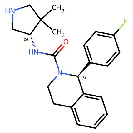 CC1(C)CNC[C@H]1NC(=O)N1CCc2ccccc2[C@@H]1c1ccc(F)cc1